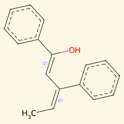 C/C=C(\C=C(/O)c1ccccc1)c1ccccc1